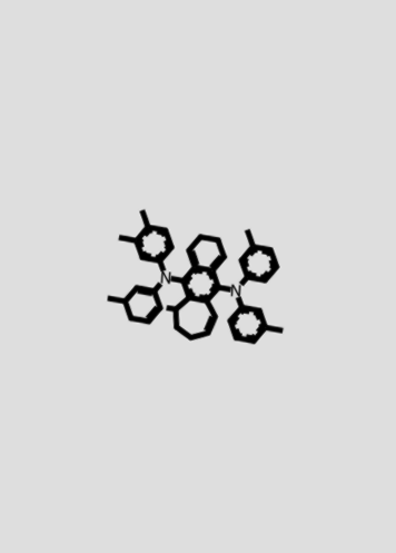 Cc1cccc(N(c2cccc(C)c2)c2c3c(c(N(C4=CC(C)CC=C4)c4ccc(C)c(C)c4)c4c2=CCCC=4)C(C)CCC=C3)c1